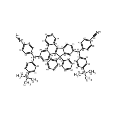 [C-]#[N+]c1ccc(N(c2ccc([Si](C)(C)C)cc2)c2ccc3c4c(c5ccccc5c3c2)-c2ccc(N(c3ccc(C#N)cc3)c3ccc([Si](C)(C)C)cc3)cc2C4(c2ccccc2)c2ccccc2)cc1